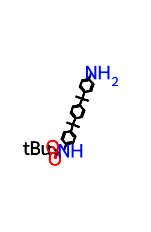 CC(C)(C)OC(=O)Nc1ccc(C(C)(C)c2ccc(C(C)(C)c3ccc(N)cc3)cc2)cc1